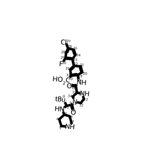 CC(C)(C)C(NC1CCNCC1)C(=O)N1CCNC(C(=O)Nc2ccc(-c3ccc(Cl)cc3F)cc2C(=O)O)C1